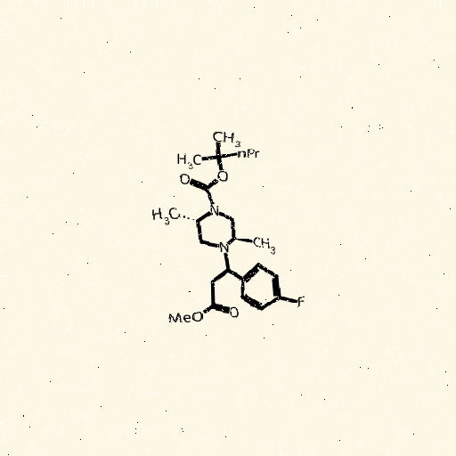 CCCC(C)(C)OC(=O)N1C[C@@H](C)N(C(CC(=O)OC)c2ccc(F)cc2)C[C@@H]1C